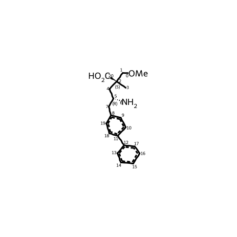 COC[C@](C)(C[C@H](N)Cc1ccc(-c2ccccc2)cc1)C(=O)O